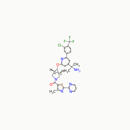 Cc1nc(-c2ncccn2)sc1C(=O)N1C[C@@H]2C(Oc3cc(C(C)(C)N)cc(-c4ccc(C(F)(F)F)c(Cl)c4)n3)[C@@H]2C1